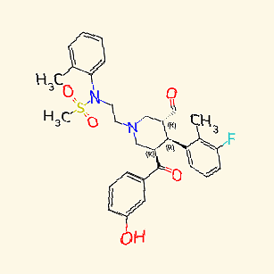 Cc1ccccc1N(CCN1C[C@H](C(=O)c2cccc(O)c2)[C@H](c2cccc(F)c2C)[C@@H](C=O)C1)S(C)(=O)=O